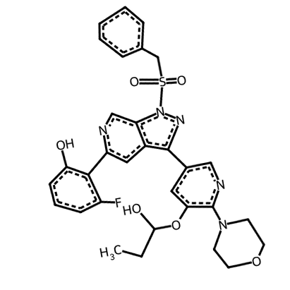 CCC(O)Oc1cc(-c2nn(S(=O)(=O)Cc3ccccc3)c3cnc(-c4c(O)cccc4F)cc23)cnc1N1CCOCC1